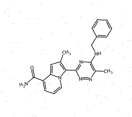 Cc1cc2c(C(N)=O)cccn2c1-c1nnc(C)c(NCc2ccccc2)n1